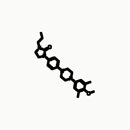 CCCN1CCN(c2ccc(N3CCN(c4cc(C)c(OC)c(C)c4)CC3)cc2)C1=O